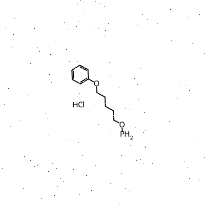 Cl.POCCCCCOc1ccccc1